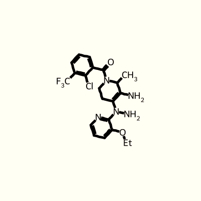 CCOc1cccnc1N(N)C1=C(N)C(C)N(C(=O)c2cccc(C(F)(F)F)c2Cl)CC1